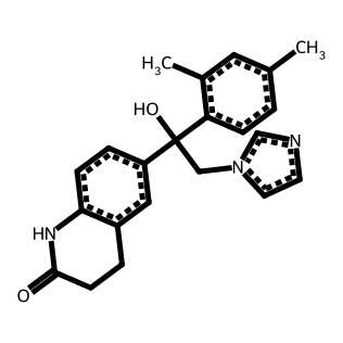 Cc1ccc(C(O)(Cn2ccnc2)c2ccc3c(c2)CCC(=O)N3)c(C)c1